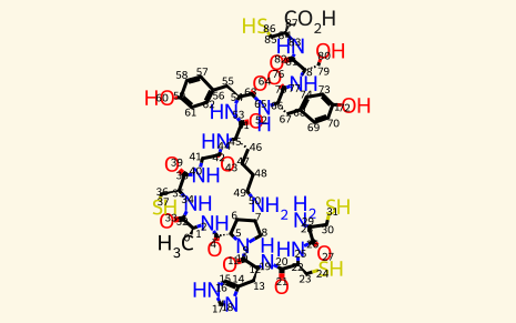 C[C@H](NC(=O)[C@@H]1CCCN1C(=O)[C@H](Cc1c[nH]cn1)NC(=O)[C@H](CS)NC(=O)[C@@H](N)CS)C(=O)N[C@@H](CS)C(=O)NCC(=O)N[C@@H](CCCCN)C(=O)N[C@@H](Cc1ccc(O)cc1)C(=O)N[C@@H](Cc1ccc(O)cc1)C(=O)N[C@@H](CO)C(=O)N[C@@H](CS)C(=O)O